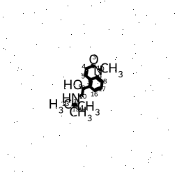 Cn1c(=O)ccc2c([C@@H](O)CNC(C)(C)C)cccc21